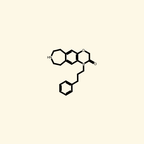 O=C1COc2cc3c(cc2N1CCCc1ccccc1)CCNCC3